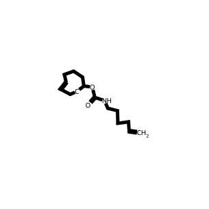 C=CCCCCNC(=O)OC1CC/C=C/CCC1